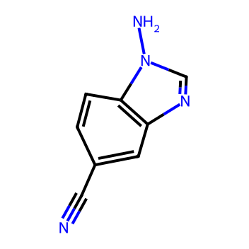 N#Cc1ccc2c(c1)ncn2N